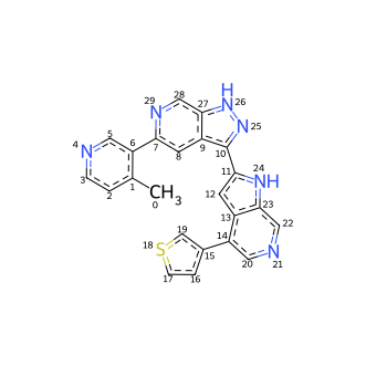 Cc1ccncc1-c1cc2c(-c3cc4c(-c5ccsc5)cncc4[nH]3)n[nH]c2cn1